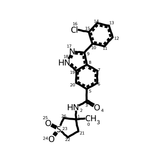 CC1(NC(=O)c2ccc3c(-c4ccccc4Cl)n[nH]c3c2)CCS(=O)(=O)C1